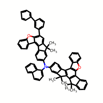 CC1(C)c2cc(N(c3ccc4c(c3)C(C)(C)c3c5c(c6oc7ccccc7c6c3-4)-c3ccccc3C5(C)C)c3cccc4ccccc34)ccc2-c2c1cc(-c1cccc(-c3ccccc3)c1)c1oc3ccccc3c21